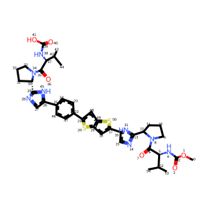 COC(=O)N[C@H](C(=O)N1CCCC1c1ncc(-c2cc3sc(-c4ccc(-c5cnc([C@@H]6CCCN6C(=O)[C@@H](NC(=O)O)C(C)C)[nH]5)cc4)cc3s2)[nH]1)C(C)C